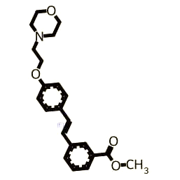 COC(=O)c1cccc(/C=C/c2ccc(OCCN3CCOCC3)cc2)c1